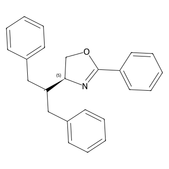 c1ccc(C[C](Cc2ccccc2)[C@H]2COC(c3ccccc3)=N2)cc1